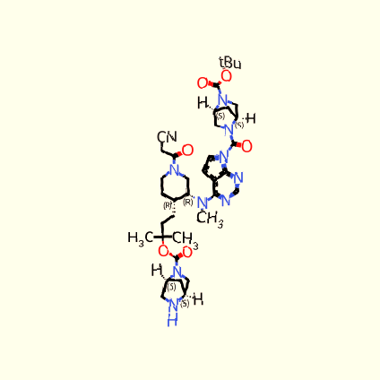 CN(c1ncnc2c1ccn2C(=O)N1C[C@@H]2C[C@H]1CN2C(=O)OC(C)(C)C)[C@H]1CN(C(=O)CC#N)CC[C@H]1CCC(C)(C)OC(=O)N1C[C@@H]2C[C@H]1CN2